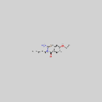 CCCCCN(C(=O)c1ccc(OCC)cc1)C(N)=S